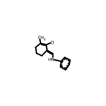 CC1=C(Cl)/C(=C/Nc2ccccc2)CCC1